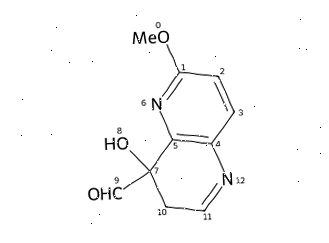 COc1ccc2c(n1)C(O)(C=O)CC=N2